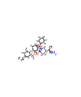 Cc1cc(C(C)OC[C@@]2(c3ccccc3)CCC(C(N)=O)CN2C(=O)c2ccccc2)cc(C(F)(F)F)c1